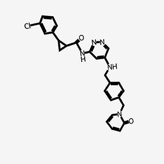 O=C(Nc1cc(NCc2ccc(Cn3ccccc3=O)cc2)cnn1)C1CC1c1cccc(Cl)c1